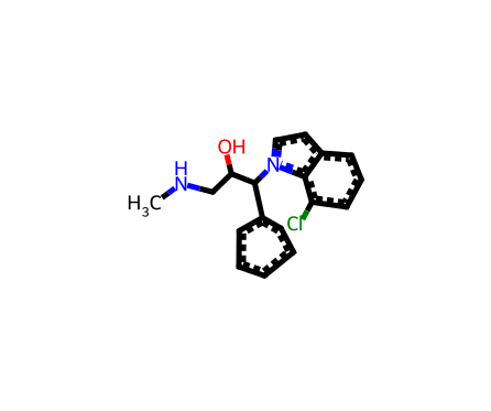 CNCC(O)C(c1ccccc1)n1ccc2cccc(Cl)c21